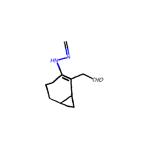 C=NNC1=C(CC=O)C2CC2CC1